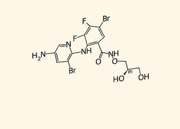 Nc1cnc(Nc2c(C(=O)NOC[C@H](O)CO)cc(Br)c(F)c2F)c(Br)c1